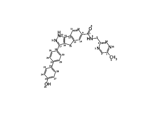 Cc1cnc(CNC(=O)c2ccc3c(c2)Cc2c(-c4ccc(-c5ccc(O)cc5)cc4)n[nH]c2-3)cn1